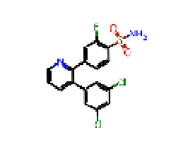 NS(=O)(=O)c1ccc(-c2ncccc2-c2cc(Cl)cc(Cl)c2)cc1F